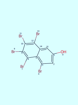 Oc1cc(Br)c2c(Br)c(Br)c(Br)c(Br)c2c1